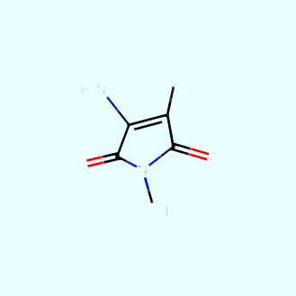 CCC1=C(N)C(=O)N(C)C1=O